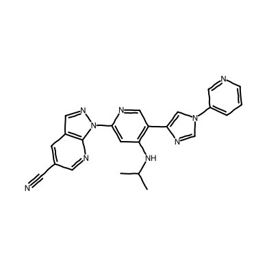 CC(C)Nc1cc(-n2ncc3cc(C#N)cnc32)ncc1-c1cn(-c2cccnc2)cn1